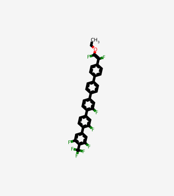 CCO/C(F)=C(\F)c1ccc(-c2ccc(-c3ccc(-c4ccc(-c5cc(F)c(C(F)(F)F)c(F)c5)c(F)c4)c(F)c3)cc2)cc1